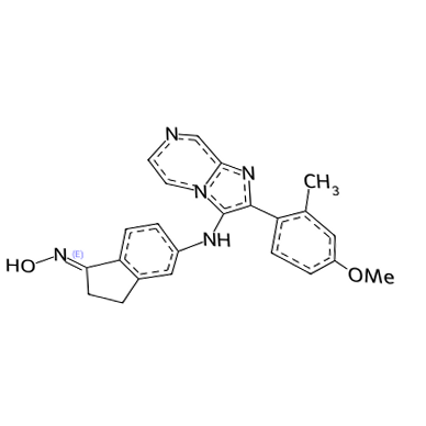 COc1ccc(-c2nc3cnccn3c2Nc2ccc3c(c2)CC/C3=N\O)c(C)c1